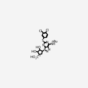 CCCCNc1nc(Sc2ccc(Cl)c(Cl)c2)nc2c1nnn2C1C[C@H](C(=O)O)C(O)C1O